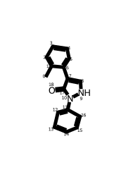 Cc1ccccc1-c1c[nH]n(-c2ccccc2)c1=O